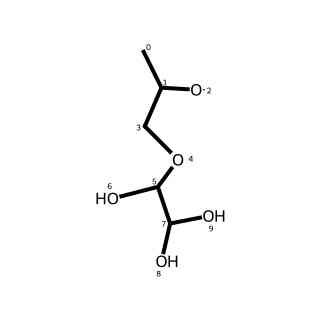 CC([O])COC(O)[C](O)O